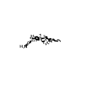 CCc1cc(Nc2nccn3c(-c4cn(CCC(C)C)nc4C(F)(F)F)cnc23)ccc1C(=O)NCCOCCN